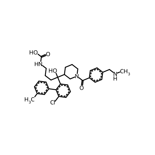 CNCc1ccc(C(=O)N2CCCC(C(O)(CCCNC(=O)O)c3cccc(Cl)c3-c3cccc(C)c3)C2)cc1